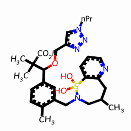 CCCn1cc(COC(c2ccc(C)c(CN3CC(C)Cc4ncccc4S3(O)O)c2)C(C)(C)C(=O)O)nn1